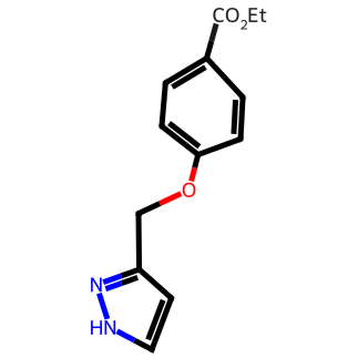 CCOC(=O)c1ccc(OCc2cc[nH]n2)cc1